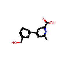 Cc1cc(-c2cccc(CO)c2)cc(C(=O)O)n1